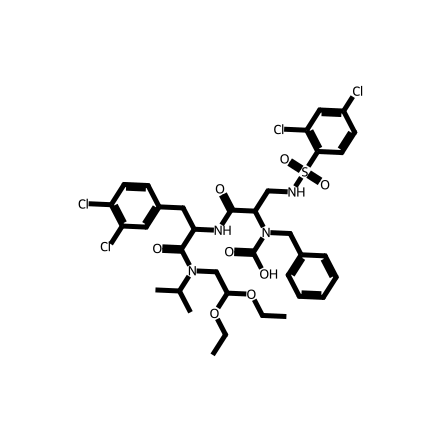 CCOC(CN(C(=O)C(Cc1ccc(Cl)c(Cl)c1)NC(=O)C(CNS(=O)(=O)c1ccc(Cl)cc1Cl)N(Cc1ccccc1)C(=O)O)C(C)C)OCC